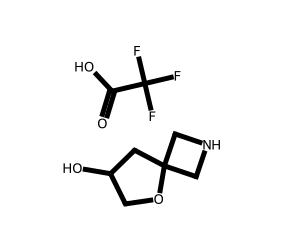 O=C(O)C(F)(F)F.OC1COC2(CNC2)C1